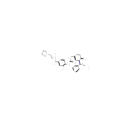 CN/C(=C1\C(=N)CCc2cnc(Nc3ccc(C(=O)NCCN4CCCC4)cc3OC)nc21)c1ccccc1